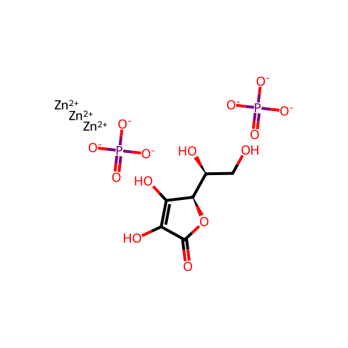 O=C1O[C@H]([C@@H](O)CO)C(O)=C1O.O=P([O-])([O-])[O-].O=P([O-])([O-])[O-].[Zn+2].[Zn+2].[Zn+2]